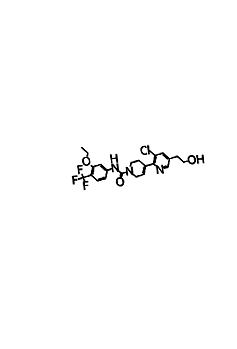 CCOc1cc(NC(=O)N2CC=C(c3ncc(CCO)cc3Cl)CC2)ccc1C(F)(F)F